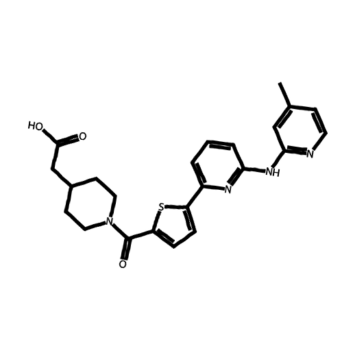 Cc1ccnc(Nc2cccc(-c3ccc(C(=O)N4CCC(CC(=O)O)CC4)s3)n2)c1